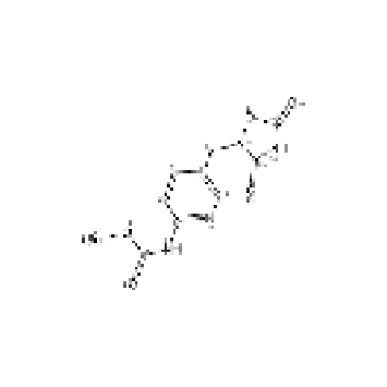 CC(C)(C)OC(=O)Nc1ccc(Cn2oc(=O)[nH]c2=O)cn1